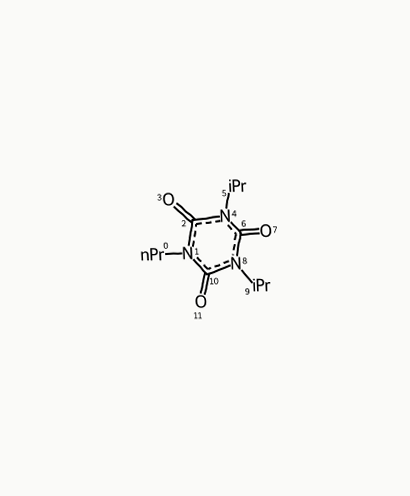 CCCn1c(=O)n(C(C)C)c(=O)n(C(C)C)c1=O